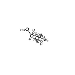 CN(C)c1cc(C#Cc2cccc(O)c2)c(O)c2c1C[C@H]1C[C@H]3[C@H](N(C)C)C(O)C(C(N)=O)C(=O)[C@@]3(O)C(O)=C1C2=O